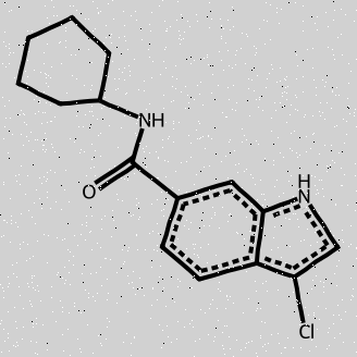 O=C(NC1CCCCC1)c1ccc2c(Cl)c[nH]c2c1